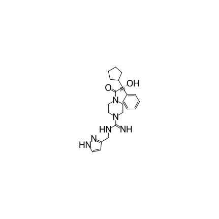 N=C(NCc1cc[nH]n1)N1CCN(C(=O)[C@](O)(c2ccccc2)C2CCCC2)CC1